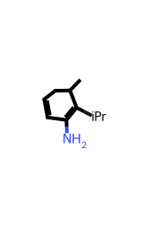 CC(C)C1=C(N)C=CCC1C